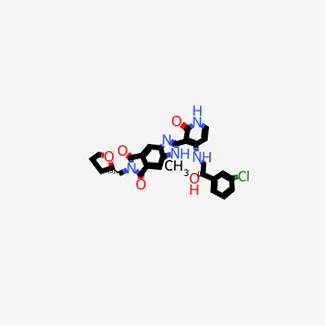 CC12C=C3C(=O)N(C[C@@H]4CCCO4)C(=O)C3=CC1N=C(c1c(NC[C@@H](O)c3cccc(Cl)c3)cc[nH]c1=O)N2